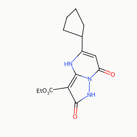 CCOC(=O)c1c(=O)[nH]n2c(=O)cc(C3CCCC3)[nH]c12